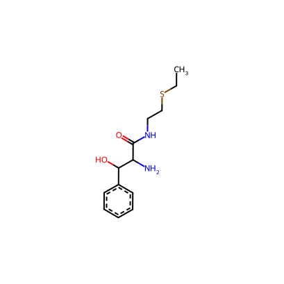 CCSCCNC(=O)C(N)C(O)c1ccccc1